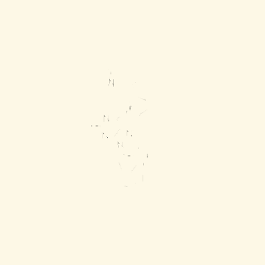 C=C1N(C)C2=C(C(=O)N1CCCN=O)N(Cc1ccc(Cl)cc1)C(C(C)(C(=O)CCC)c1cccc(C(F)(F)F)c1)N2C